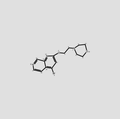 Brc1cc(OCCN2CCOCC2)nc2cnccc12